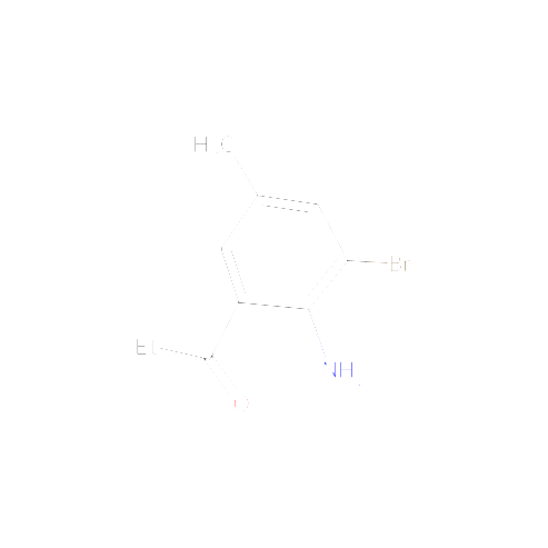 CCC(=O)c1cc(C)cc(Br)c1N